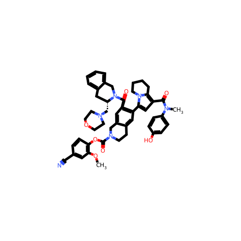 COc1cc(C#N)ccc1OC(=O)N1CCc2cc(-c3cc(C(=O)N(C)c4ccc(O)cc4)c4n3CCCC4)c(C(=O)N3Cc4ccccc4C[C@H]3CN3CCOCC3)cc2C1